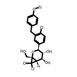 CCOc1ccc(Cc2cc([C@@H]3O[C@]4(CO)[C@H]([C@H](O)[C@H]3O)C4(Cl)Cl)ccc2Cl)cc1